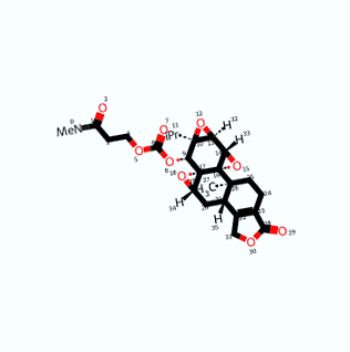 CNC(=O)CCOC(=O)O[C@@H]1[C@@]2(C(C)C)O[C@H]2[C@@H]2O[C@]23[C@]12O[C@H]2C[C@H]1C2=C(CC[C@@]13C)C(=O)OC2